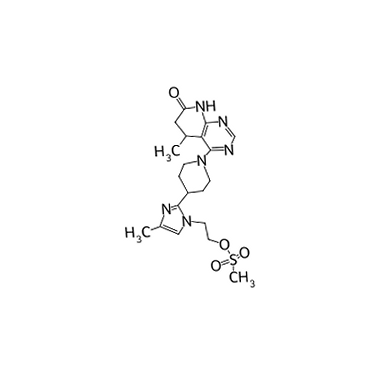 Cc1cn(CCOS(C)(=O)=O)c(C2CCN(c3ncnc4c3C(C)CC(=O)N4)CC2)n1